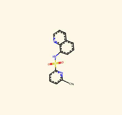 N#Cc1cccc(S(=O)(=O)Nc2cccc3cccnc23)n1